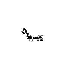 CCP(=O)(OC)SCCOC(=O)C(C)(C)CCN1CCOCC1